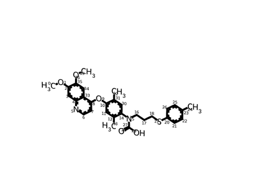 COc1cc2nccc(Oc3cc(C)c(N(CCCSc4ccc(C)cc4)C(=O)O)cc3C)c2cc1OC